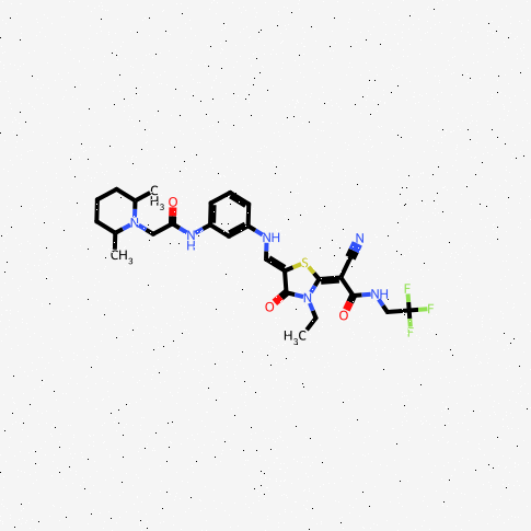 CCn1c(=C(C#N)C(=O)NCC(F)(F)F)sc(=CNc2cccc(NC(=O)CN3C(C)CCCC3C)c2)c1=O